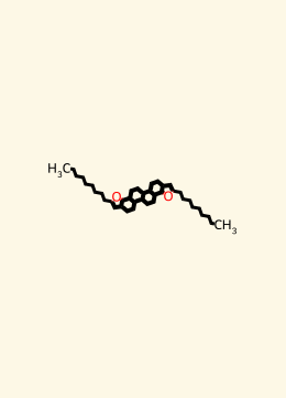 CCCCCCCCCc1cc2ccc3c4ccc5c(ccc6cc(CCCCCCCCC)oc65)c4ccc3c2o1